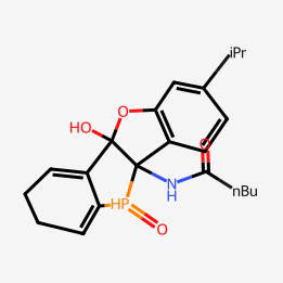 CCCCC(=O)NC12c3ccc(C(C)C)cc3OC1(O)C1=CCCC=C1[PH]2=O